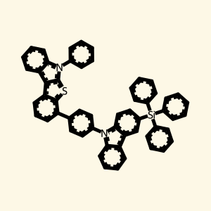 c1ccc(-n2c3ccccc3c3c4cccc(-c5ccc(-n6c7ccccc7c7cc([Si](c8ccccc8)(c8ccccc8)c8ccccc8)ccc76)cc5)c4sc32)cc1